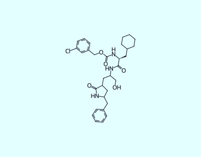 O=C(N[C@@H](CC1CCCCC1)C(=O)NC(CO)CC1CC(Cc2ccccc2)NC1=O)OCc1cccc(Cl)c1